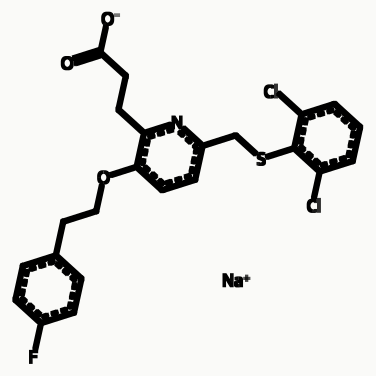 O=C([O-])CCc1nc(CSc2c(Cl)cccc2Cl)ccc1OCCc1ccc(F)cc1.[Na+]